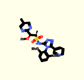 COc1cccc(OC)c1-n1c(NS(=O)(=O)[C@@H](C)[C@@H](OC(C)C)c2ncc(C)cn2)nnc1-c1cccnc1